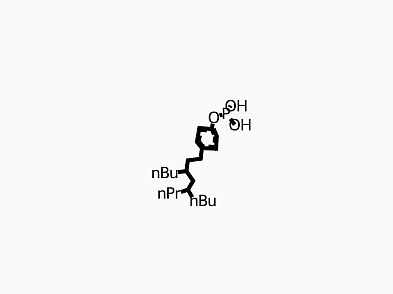 CCCCC(CCC)CC(CCCC)CCc1ccc(OP(O)O)cc1